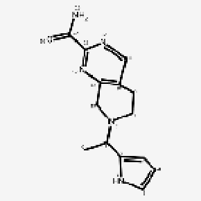 CC(c1ccc[nH]1)N1CCc2[c]nc(C(N)=O)nc2C1